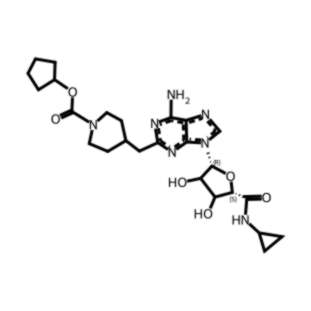 Nc1nc(CC2CCN(C(=O)OC3CCCC3)CC2)nc2c1ncn2[C@@H]1O[C@H](C(=O)NC2CC2)C(O)C1O